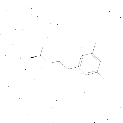 CCCCCCC[C@@H](CC)SCNc1cc(C)cc(C)c1